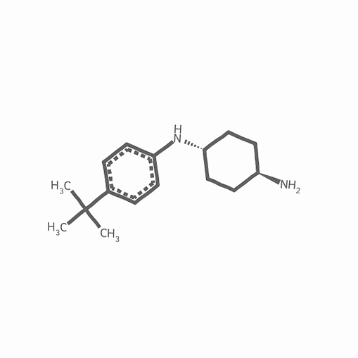 CC(C)(C)c1ccc(N[C@H]2CC[C@H](N)CC2)cc1